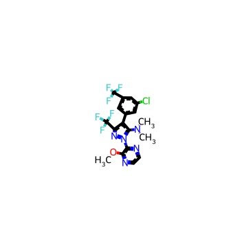 COc1nccnc1-n1nc(C(F)(F)F)c(-c2cc(Cl)cc(C(F)(F)F)c2)c1N(C)C